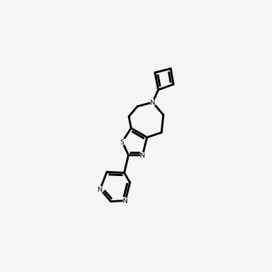 C1=CC(N2CCc3nc(-c4cncnc4)sc3CC2)=C1